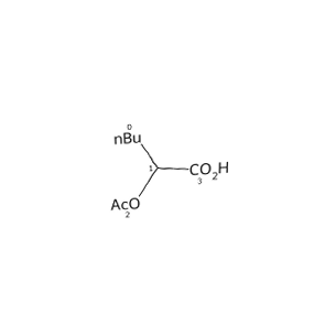 CCCCC(OC(C)=O)C(=O)O